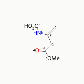 C=C(CC(=O)OC)NC(=O)O